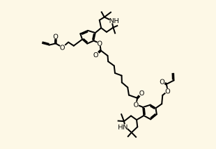 C=CC(=O)OCCc1ccc(C2CC(C)(C)NC(C)(C)C2)c(OC(=O)CCCCCCCCC(=O)Oc2cc(CCOC(=O)C=C)ccc2C2CC(C)(C)NC(C)(C)C2)c1